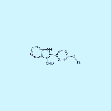 CCOc1ccc(-c2[nH]c3ccccc3c2C=O)cc1